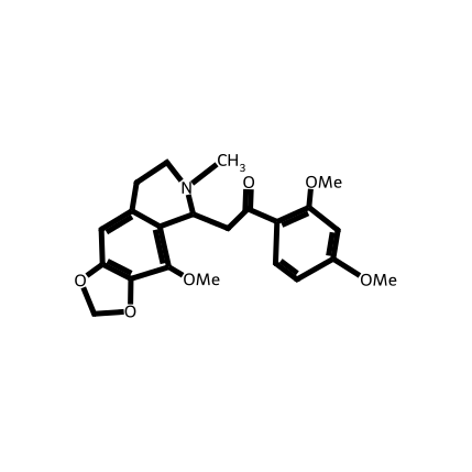 COc1ccc(C(=O)CC2c3c(cc4c(c3OC)OCO4)CCN2C)c(OC)c1